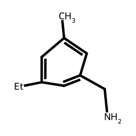 CCc1cc(C)cc(CN)c1